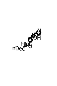 CCCCCCCCCCCCNC(=O)c1ccc(CN(O)Cc2cccnc2)cc1